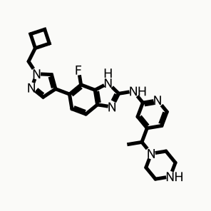 CC(c1ccnc(Nc2nc3ccc(-c4cnn(CC5CCC5)c4)c(F)c3[nH]2)c1)N1CCNCC1